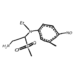 CCN(c1ccc(N=O)c(C)c1)C(CN)S(C)(=O)=O